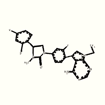 CN1C(=O)N(c2ccc(-c3cn(CC(F)(F)F)c4ncnc(N)c34)c(F)c2)CC1c1ccc(F)cc1F